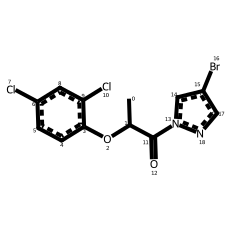 CC(Oc1ccc(Cl)cc1Cl)C(=O)n1cc(Br)cn1